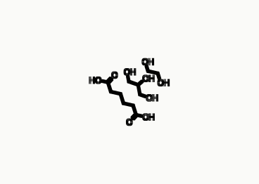 O=C(O)CCCCC(=O)O.OCC(O)CO.OCCO